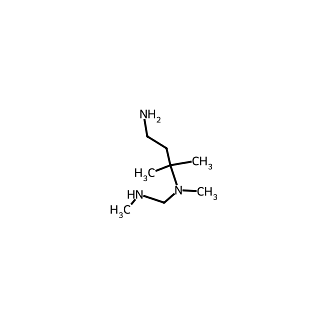 CNCN(C)C(C)(C)CCN